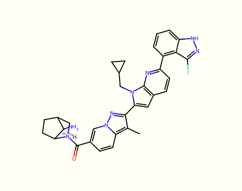 Cc1c(-c2cc3ccc(-c4cccc5[nH]nc(F)c45)nc3n2CC2CC2)nn2cc(C(=O)N3CC4CCC3[C@@H]4N)ccc12